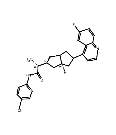 C[C@@H](C(=O)Nc1ccc(Cl)cn1)[C@H]1CC2CC(c3ccnc4ccc(F)cc34)C[C@H]2C1